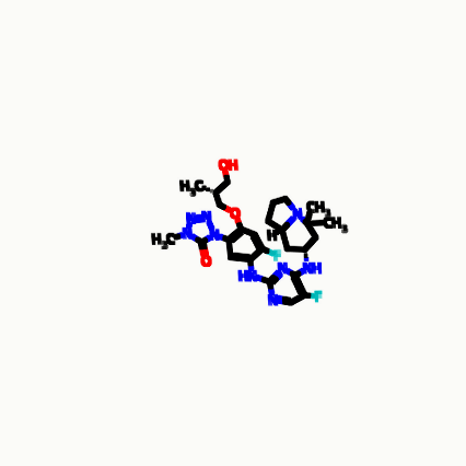 C[C@H](CO)COc1cc(F)c(Nc2ncc(F)c(N[C@@H]3C[C@H]4CCCN4C(C)(C)C3)n2)cc1-n1nnn(C)c1=O